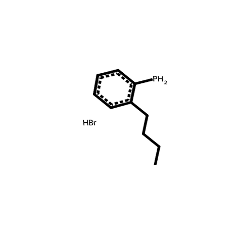 Br.CCCCc1ccccc1P